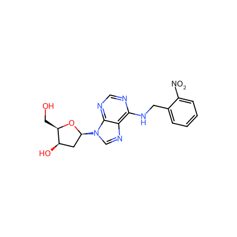 O=[N+]([O-])c1ccccc1CNc1ncnc2c1ncn2[C@H]1C[C@@H](O)[C@@H](CO)O1